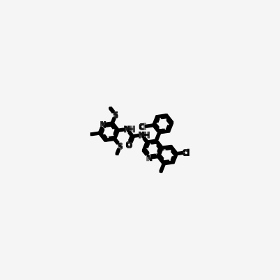 CSc1cc(C)nc(SC)c1NC(=O)Nc1cnc2c(C)cc(Cl)cc2c1-c1ccccc1Cl